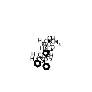 CC(C)(C)OC(=O)N1[C@@H]2C[C@@H]([C@H](O[Si](c3ccccc3)(c3ccccc3)C(C)(C)C)C2)[C@@H]1C=O